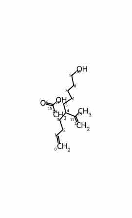 C=CCCC(CCCCCO)C(=C)C.CC(=O)O